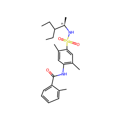 CCC(CC)[C@@H](C)NS(=O)(=O)c1cc(C)c(NC(=O)c2ccccc2C)cc1C